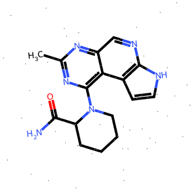 Cc1nc(N2CCC[CH]C2C(N)=O)c2c(cnc3[nH]ccc32)n1